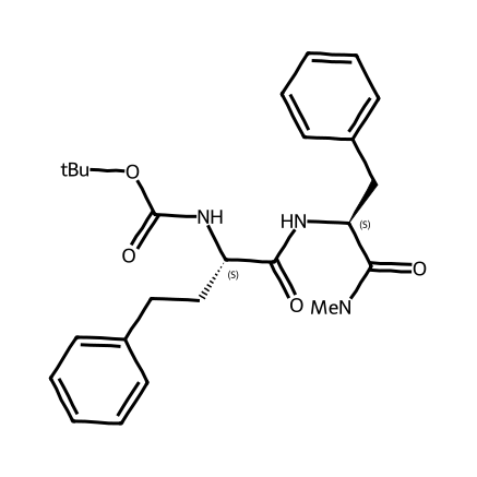 CNC(=O)[C@H](Cc1ccccc1)NC(=O)[C@H](CCc1ccccc1)NC(=O)OC(C)(C)C